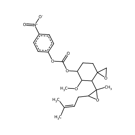 COC1C(OC(=O)Oc2ccc([N+](=O)[O-])cc2)CCC2(CO2)C1C1(C)OC1CC=C(C)C